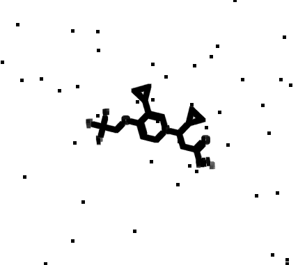 NC(=O)CC(C1CC1)N1C=C(C2CC2)C(OCC(F)(F)F)=CC1